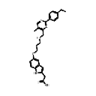 CCc1ccc(-c2ncc(C)c(CNCCCOc3ccc4[nH]c(CC(=O)O)cc4c3)n2)cc1